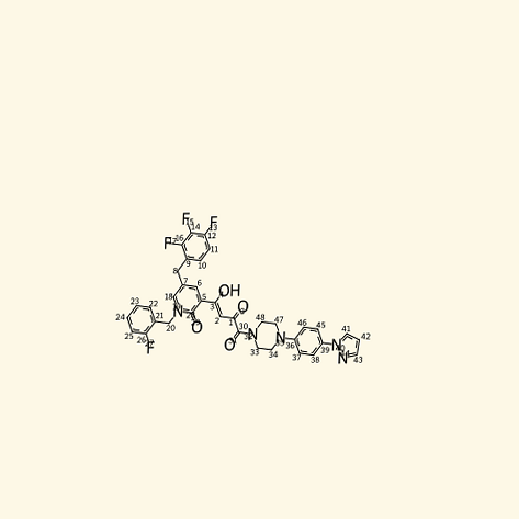 O=C(C=C(O)c1cc(Cc2ccc(F)c(F)c2F)cn(Cc2ccccc2F)c1=O)C(=O)N1CCN(c2ccc(-n3cccn3)cc2)CC1